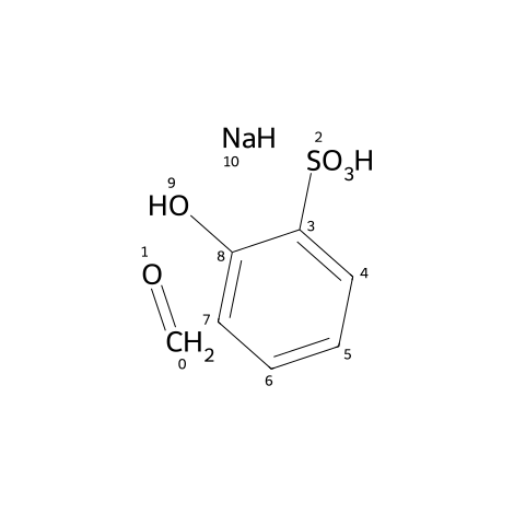 C=O.O=S(=O)(O)c1ccccc1O.[NaH]